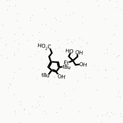 CC(C)(C)c1cc(CCC(=O)O)cc(C(C)(C)C)c1O.CCC(CO)(CO)CO